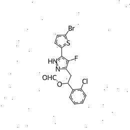 O=COC(Cc1n[nH]c(-c2ccc(Br)s2)c1F)c1ccccc1Cl